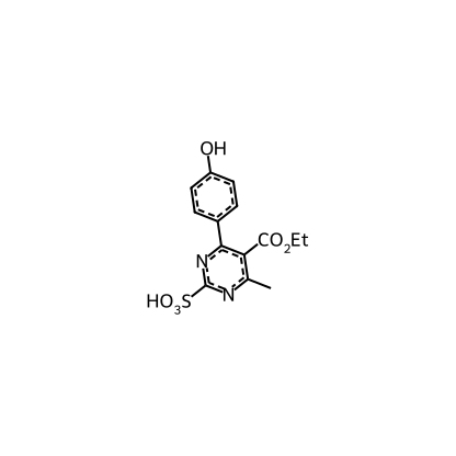 CCOC(=O)c1c(C)nc(S(=O)(=O)O)nc1-c1ccc(O)cc1